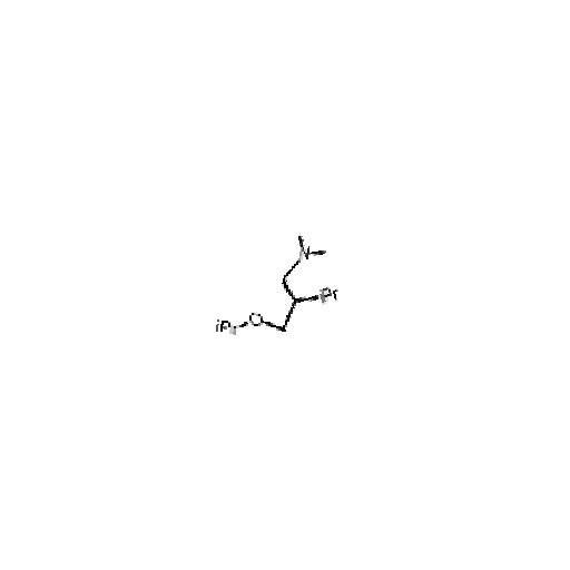 CC(C)OCC(CN(C)C)C(C)C